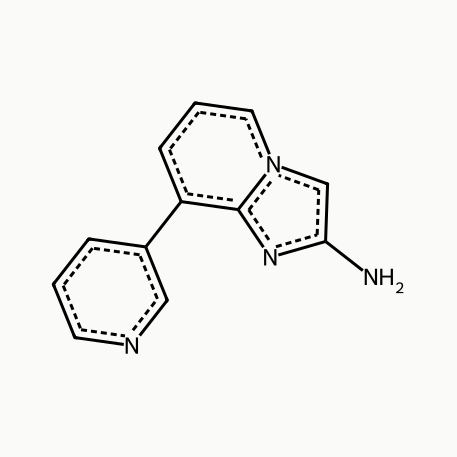 Nc1cn2cccc(-c3cccnc3)c2n1